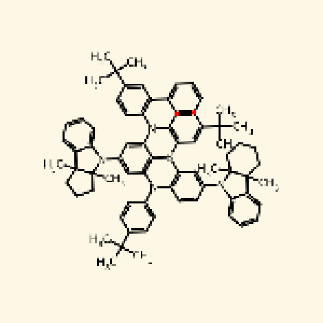 CC(C)(C)c1ccc(N2c3ccc(N4c5ccccc5C5(C)CCCCC45C)cc3B3c4cc(C(C)(C)C)ccc4N(c4ccc(C(C)(C)C)cc4-c4ccccc4)c4cc(N5c6ccccc6C6(C)CCCC56C)cc2c43)cc1